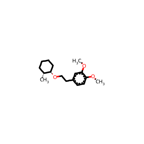 COc1ccc(CCO[C@H]2CCCC[C@H]2C)cc1OC